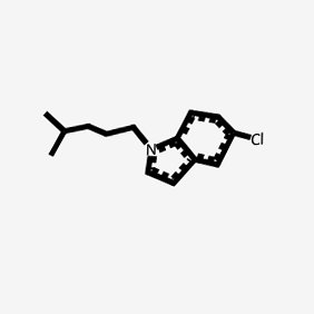 CC(C)CCCn1ccc2cc(Cl)ccc21